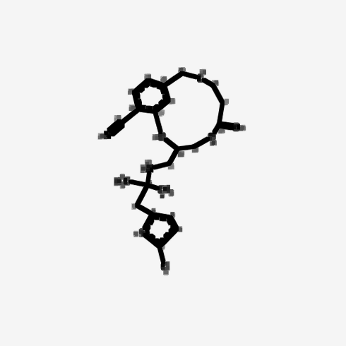 CC(C)(Cc1ccc(Cl)s1)NCC1COC(=O)CCCCc2ccc(C#N)c(c2)O1